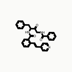 O=C(NCC(=O)C(Cc1ccccc1)NC(=O)c1ccccc1C=Cc1ccncc1)c1ccccc1